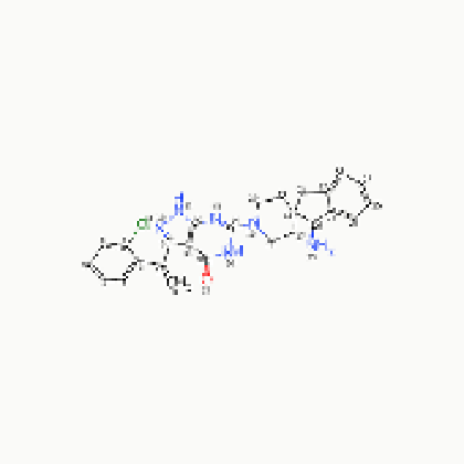 C=C(c1ccccc1Cl)c1n[nH]c2nc(N3CCC4(CC3)Cc3ccccc3[C@H]4N)[nH]c(=O)c12